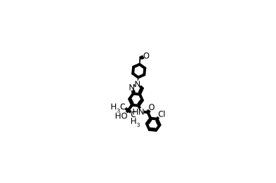 CC(C)(O)c1cc2nn([C@H]3CC[C@H](C=O)CC3)cc2cc1NC(=O)c1ccccc1Cl